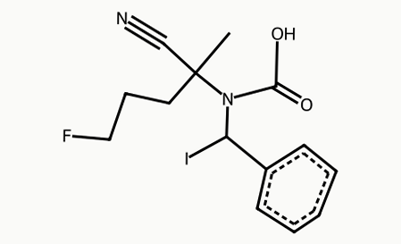 CC(C#N)(CCCF)N(C(=O)O)C(I)c1ccccc1